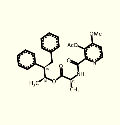 COc1ccnc(C(=O)N[C@@H](C)C(=O)O[C@@H](C)[C@H](Cc2ccccc2)c2ccccc2)c1OC(C)=O